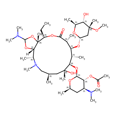 CC[C@H]1OC(=O)[C@H](C)[C@@H](O[C@H]2C[C@@](C)(OC)[C@@H](O)[C@H](C)O2)[C@H](C)[C@@H](O[C@@H]2O[C@H](C)C[C@H](N(C)C)[C@H]2OC(C)=O)[C@](C)(O)C[C@@H](C)CN(C)[C@H](C)[C@@H]2OC(N(C)C)O[C@]12C